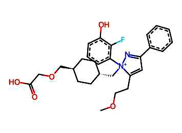 COCCC1=CC(c2ccccc2)=N[N+]1(C[C@H]1CC[C@H](COCC(=O)O)CC1)c1cccc(O)c1F